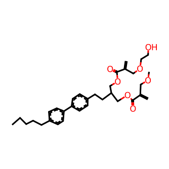 C=C(COC)C(=O)OCC(CCc1ccc(-c2ccc(CCCCC)cc2)cc1)COC(=O)C(=C)COCCO